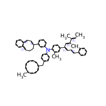 C/C=C(C)/C(C)=C/C(=C\C=C\c1ccccc1)c1ccc(N(c2ccc(Cc3cccccc(C)ccc3)cc2)c2cccc(/C3=C/C=c4/cccc/c4=C/CC3)c2)c(C)c1